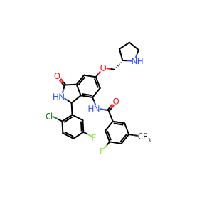 O=C(Nc1cc(OC[C@@H]2CCCN2)cc2c1C(c1cc(F)ccc1Cl)NC2=O)c1cc(F)cc(C(F)(F)F)c1